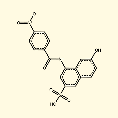 O=C(Nc1cc(S(=O)(=O)O)cc2ccc(O)cc12)c1ccc([N+](=O)[O-])cc1